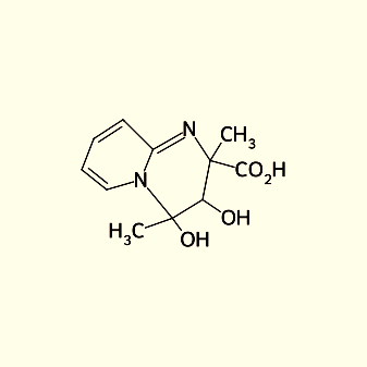 CC1(C(=O)O)N=C2C=CC=CN2C(C)(O)C1O